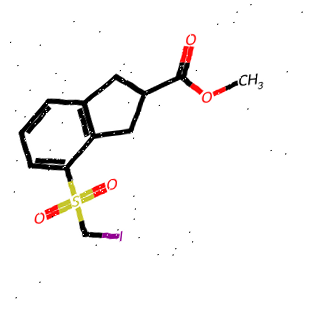 COC(=O)C1Cc2cccc(S(=O)(=O)CI)c2C1